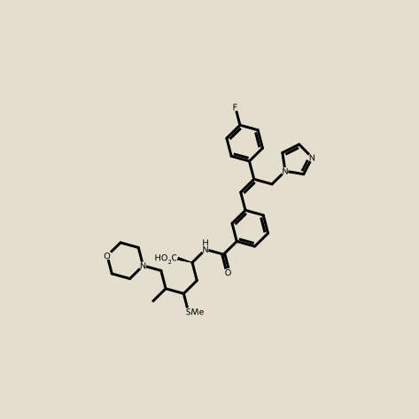 CSC(C[C@H](NC(=O)c1cccc(C=C(Cn2ccnc2)c2ccc(F)cc2)c1)C(=O)O)C(C)CN1CCOCC1